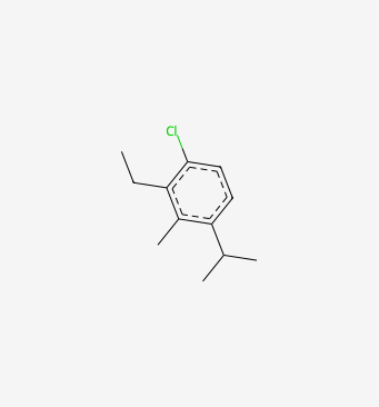 CCc1c(Cl)ccc(C(C)C)c1C